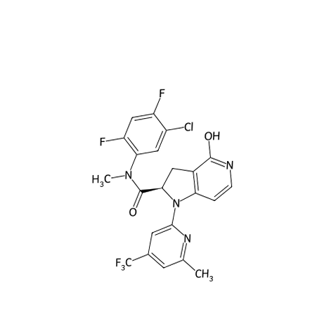 Cc1cc(C(F)(F)F)cc(N2c3ccnc(O)c3C[C@@H]2C(=O)N(C)c2cc(Cl)c(F)cc2F)n1